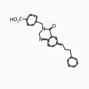 O=C(O)c1ccc(CN2CN=c3ccc(=CCCc4ccccc4)cc3C2=O)cc1